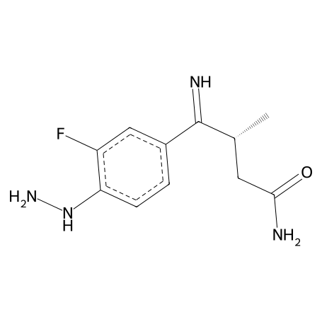 C[C@H](CC(N)=O)C(=N)c1ccc(NN)c(F)c1